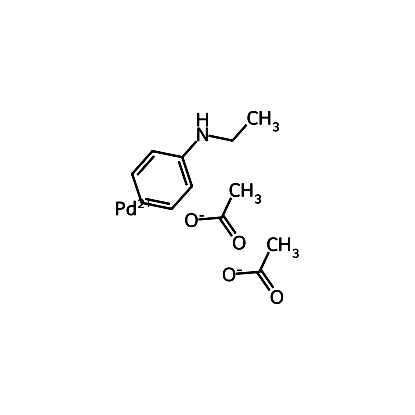 CC(=O)[O-].CC(=O)[O-].CCNc1ccccc1.[Pd+2]